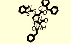 O=C(Cc1ccccc1)NC1C(=O)N2C(C(=O)OC(c3ccccc3)c3ccccc3)=C(Sc3nc4ccccc4s3)CS[C@H]12